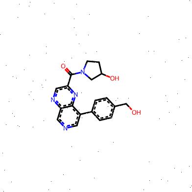 O=C(c1cnc2cncc(-c3ccc(CO)cc3)c2n1)N1CCC(O)C1